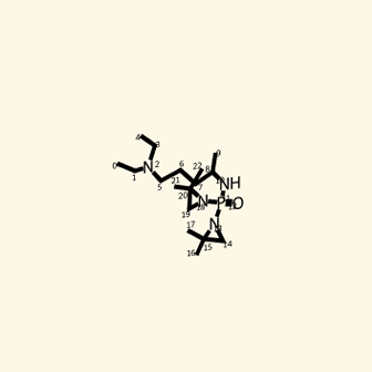 CCN(CC)CCCC(C)NP(=O)(N1CC1(C)C)N1CC1(C)C